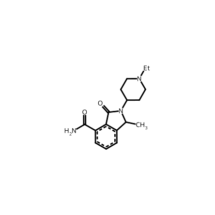 CCN1CCC(N2C(=O)c3c(C(N)=O)cccc3C2C)CC1